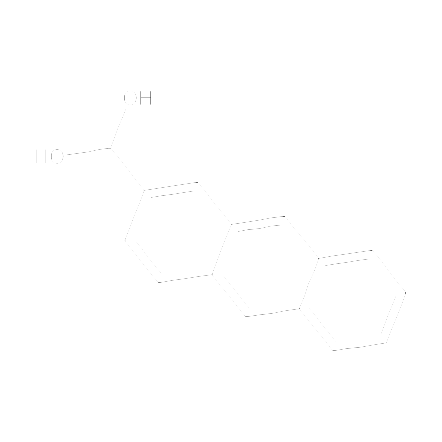 OC(O)c1ccc2cc3ccccc3cc2c1